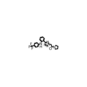 O=C(Cn1nnc(-c2ccccc2Nc2ccc(C(F)(F)F)cc2)n1)N1CCCC1